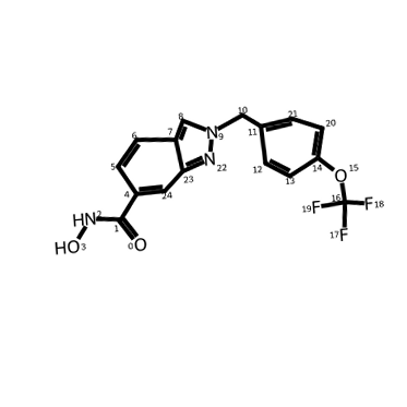 O=C(NO)c1ccc2cn(Cc3ccc(OC(F)(F)F)cc3)nc2c1